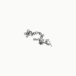 COc1cc2nc(C)nc(NCc3cc(N)cc(C(F)(F)F)c3)c2cc1C1CCN(C(=O)C2CCN(CC3CCC4(CC3)CCN(C(=O)c3ccc(Cl)c(N5CCC(=O)NC5=O)c3)CC4)CC2)CC1